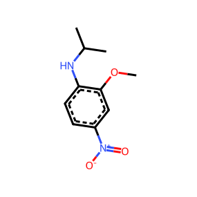 COc1cc([N+](=O)[O-])ccc1NC(C)C